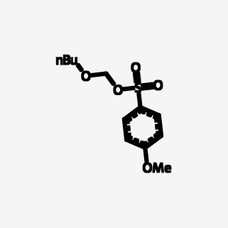 CCCCOCOS(=O)(=O)c1ccc(OC)cc1